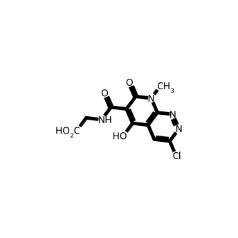 Cn1c(=O)c(C(=O)NCC(=O)O)c(O)c2cc(Cl)nnc21